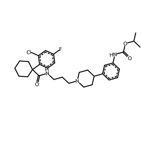 CC(C)OC(=O)Nc1cccc(C2CCN(CCCNC(=O)C3(c4ccc(F)cc4Cl)CCCCC3)CC2)c1